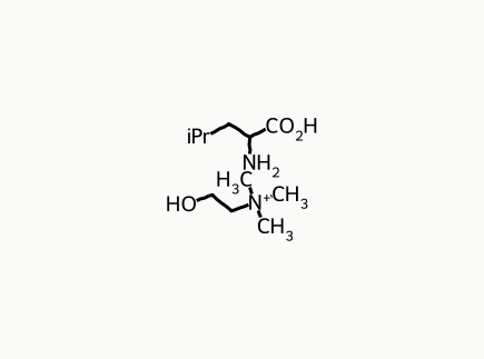 CC(C)CC(N)C(=O)O.C[N+](C)(C)CCO